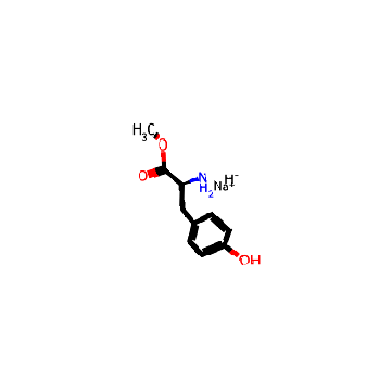 COC(=O)[C@@H](N)Cc1ccc(O)cc1.[H-].[Na+]